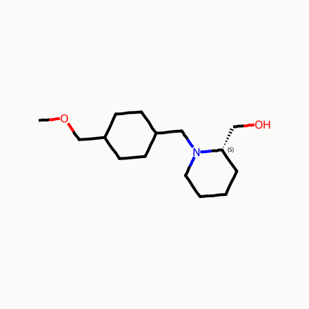 COCC1CCC(CN2CCCC[C@H]2CO)CC1